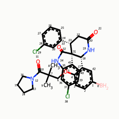 Bc1ccc(OCC(C)(C)C(=O)N2CCCC2)c([C@H]2NC(=O)C[C@@H](c3cccc(Cl)c3)[C@]23C(=O)Nc2cc(Cl)ccc23)c1